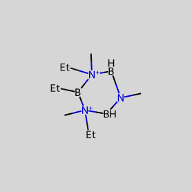 CCB1[N+](C)(CC)BN(C)B[N+]1(C)CC